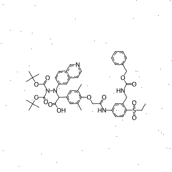 CCS(=O)(=O)c1ccc(NC(=O)COc2c(C)cc(C(C(=O)O)N(c3ccc4cnccc4c3)N(C(=O)OC(C)(C)C)C(=O)OC(C)(C)C)cc2C)cc1CNC(=O)OCc1ccccc1